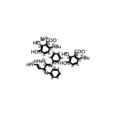 CCCC=CC(=Nc1ccccc1)C(CCCCCC)=Nc1ccccc1.CCCCc1ccc(O)c(O)c1C(=O)[O-].CCCCc1ccc(O)c(O)c1C(=O)[O-].[Ni+2]